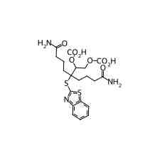 NC(=O)CCCC(CCCC(N)=O)(Sc1nc2ccccc2s1)C(COC(=O)O)OC(=O)O